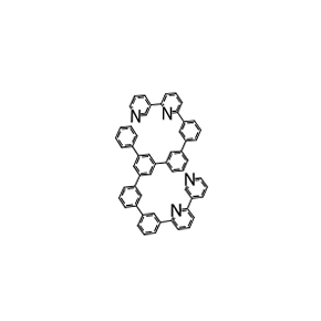 c1ccc(-c2cc(-c3cccc(-c4cccc(-c5cccc(-c6cccnc6)n5)c4)c3)cc(-c3cccc(-c4cccc(-c5cccc(-c6cccnc6)n5)c4)c3)c2)cc1